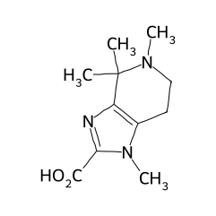 CN1CCc2c(nc(C(=O)O)n2C)C1(C)C